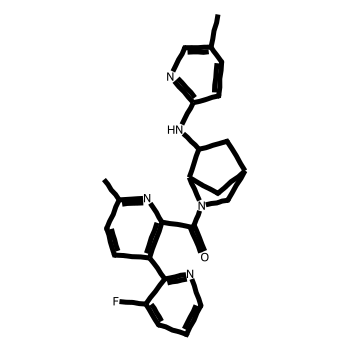 Cc1ccc(NC2CC3CC2N(C(=O)c2nc(C)ccc2-c2ncccc2F)C3)nc1